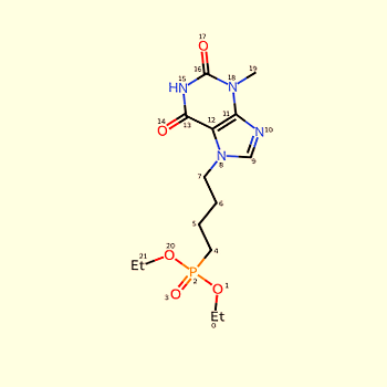 CCOP(=O)(CCCCn1cnc2c1c(=O)[nH]c(=O)n2C)OCC